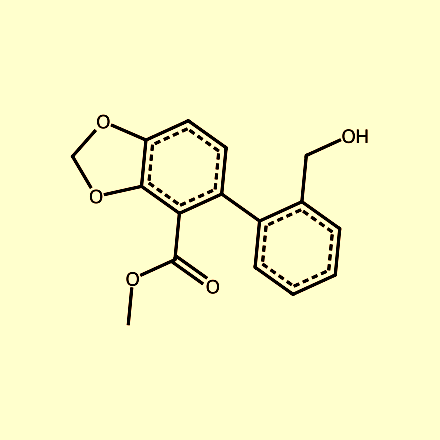 COC(=O)c1c(-c2ccccc2CO)ccc2c1OCO2